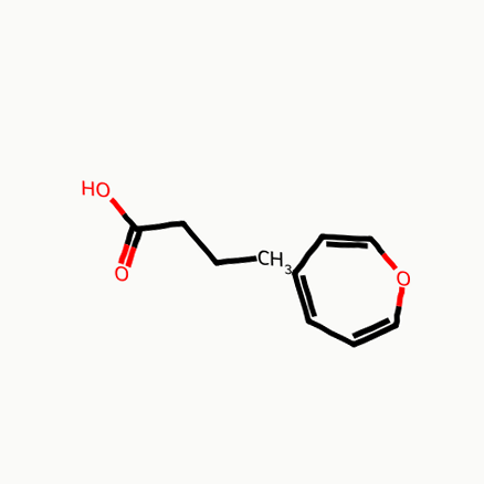 C1=CC=COC=C1.CCCC(=O)O